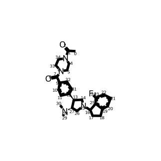 CC(=O)N1CCN(C(=O)c2ccc([C@H]3CN(C4CCc5cccc(F)c54)C[C@@H]3N(C)C)cc2)CC1